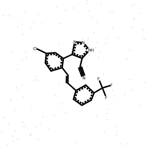 N#Cc1[nH]nnc1-c1cc(Cl)ccc1C=Cc1cccc(C(F)(F)F)c1